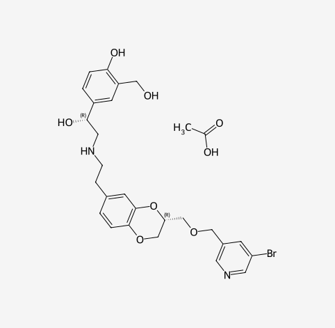 CC(=O)O.OCc1cc([C@@H](O)CNCCc2ccc3c(c2)O[C@H](COCc2cncc(Br)c2)CO3)ccc1O